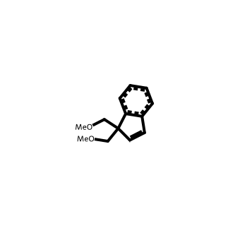 COCC1(COC)[C]=Cc2ccccc21